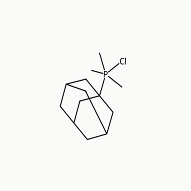 CP(C)(C)(Cl)C12CC3CC(CC(C3)C1)C2